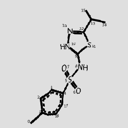 Cc1ccc(S(=O)(=O)NC2NN=C(C(C)C)S2)cc1